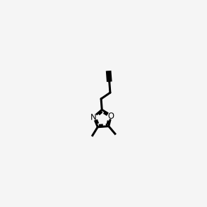 C#CCCc1nc(C)c(C)o1